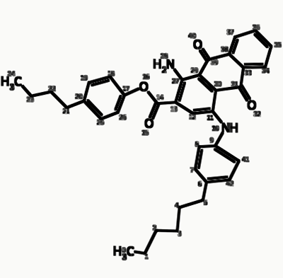 CCCCCCc1ccc(Nc2cc(C(=O)Oc3ccc(CCCC)cc3)c(N)c3c2C(=O)c2ccccc2C3=O)cc1